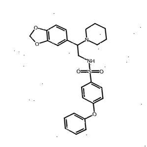 O=S(=O)(NCC(c1ccc2c(c1)OCO2)N1CCCCC1)c1ccc(Oc2ccccc2)cc1